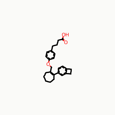 O=C(O)CCCc1ccc(OCC2=C(c3ccc4c(c3)CC4)CCCCC2)cc1